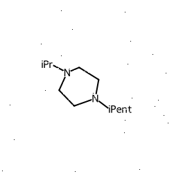 CCCC(C)N1CCN(C(C)C)CC1